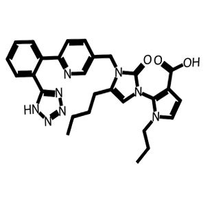 CCCCc1cn(-c2c(C(=O)O)ccn2CCC)c(=O)n1Cc1ccc(-c2ccccc2-c2nnn[nH]2)nc1